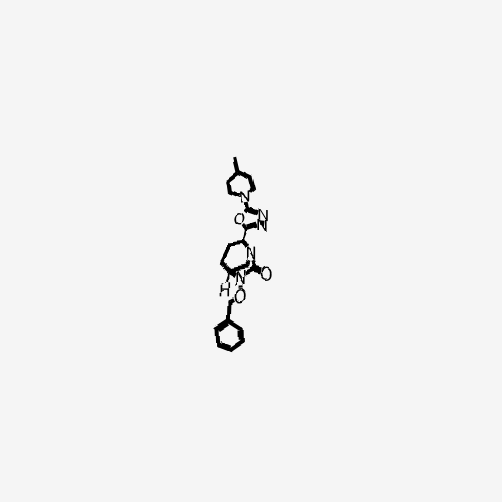 CC1CCN(c2nnc([C@@H]3CC[C@@H]4CN3C(=O)N4OCc3ccccc3)o2)CC1